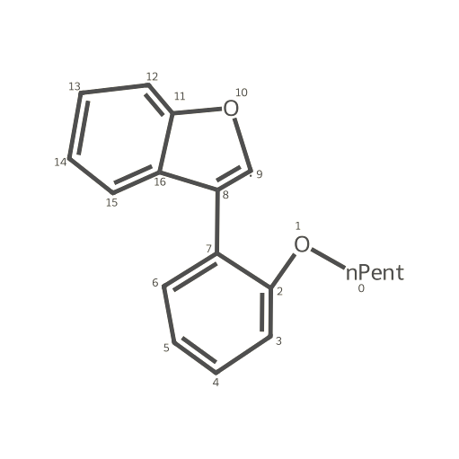 CCCCCOc1ccccc1-c1[c]oc2ccccc12